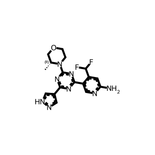 C[C@@H]1COCCN1c1nc(-c2cn[nH]c2)nc(-c2cnc(N)cc2C(F)F)n1